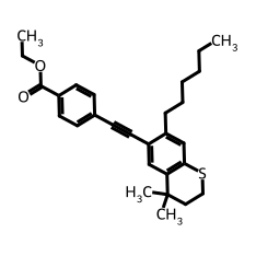 CCCCCCc1cc2c(cc1C#Cc1ccc(C(=O)OCC)cc1)C(C)(C)CCS2